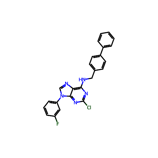 Fc1cccc(-n2cnc3c(NCc4ccc(-c5ccccc5)cc4)nc(Cl)nc32)c1